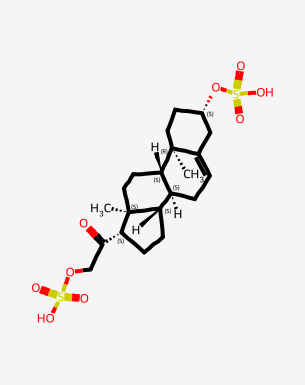 C[C@]12CC[C@H]3[C@@H](CC=C4C[C@@H](OS(=O)(=O)O)CC[C@@]43C)[C@@H]1CC[C@@H]2C(=O)COS(=O)(=O)O